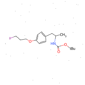 CC(Cc1ccc(OCCCI)cc1)NC(=O)OC(C)(C)C